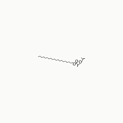 C=C(C)COCC(=C)C(=O)OCCCCCCCCCCCCCCCCCCCC